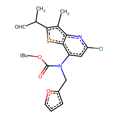 Cc1c(C(C)C=O)sc2c(N(Cc3ccco3)C(=O)OC(C)(C)C)cc(Cl)nc12